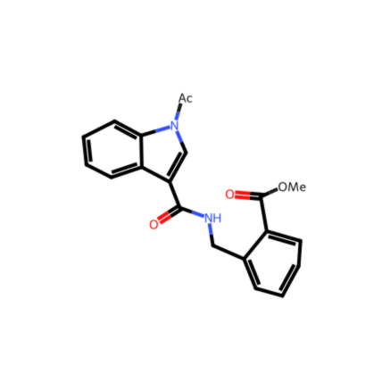 COC(=O)c1ccccc1CNC(=O)c1cn(C(C)=O)c2ccccc12